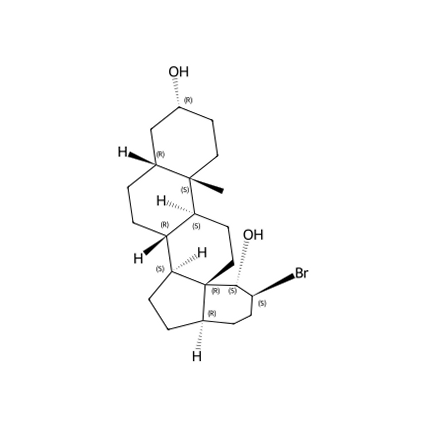 C[C@]12CC[C@@H](O)C[C@H]1CC[C@@H]1[C@@H]2CC[C@]23[C@@H](CC[C@H](Br)[C@H]2O)CC[C@@H]13